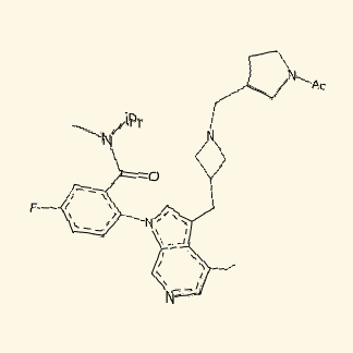 CC(=O)N1CCC(CN2CC(Cc3cn(-c4ccc(F)cc4C(=O)N(C)C(C)C)c4cncc(C)c34)C2)C1